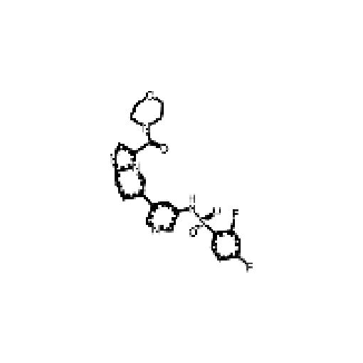 O=C(c1cnc2ccc(-c3cncc(NS(=O)(=O)c4ccc(F)cc4F)c3)cn12)N1CCOCC1